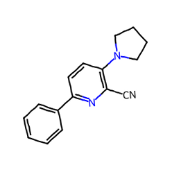 N#Cc1nc(-c2ccccc2)ccc1N1CCCC1